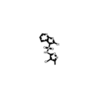 CCc1sc2ncccc2c1S(=O)(=O)Nc1onc(C)c1Cl